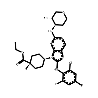 CCOC(=O)[C@]1(C)CC[C@@H](n2c(Nc3c(F)cc(F)cc3Cl)nc3cnc(N[C@@H]4CCOC[C@H]4C)nc32)CC1